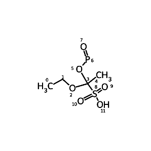 CCOC(C)(OP=O)S(=O)(=O)O